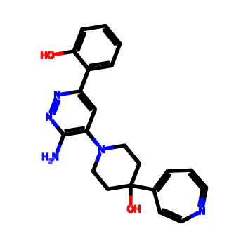 Nc1nnc(-c2ccccc2O)cc1N1CCC(O)(C2=CC=C=NC=C2)CC1